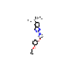 CC(=O)NC(C)c1ccc2nc(N3CCC(Oc4cccc(OCC5CC5)c4)C3)ncc2c1